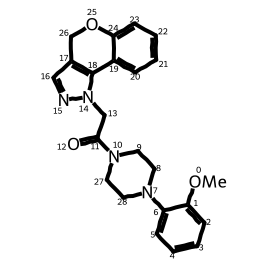 COc1ccccc1N1CCN(C(=O)Cn2ncc3c2-c2ccccc2OC3)CC1